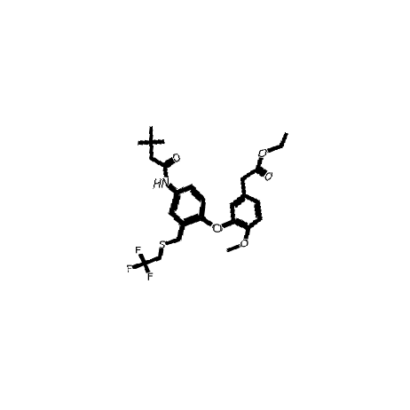 CCOC(=O)Cc1ccc(OC)c(Oc2ccc(NC(=O)CC(C)(C)C)cc2CSCC(F)(F)F)c1